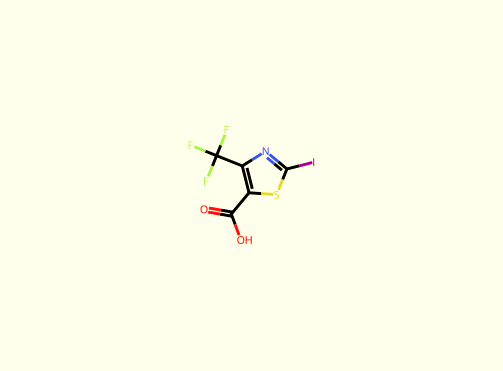 O=C(O)c1sc(I)nc1C(F)(F)F